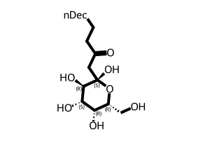 CCCCCCCCCCCCC(=O)C[C@]1(O)O[C@H](CO)[C@H](O)[C@H](O)[C@H]1O